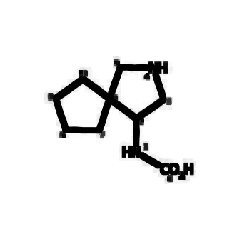 O=C(O)NC1CNCC12CCCC2